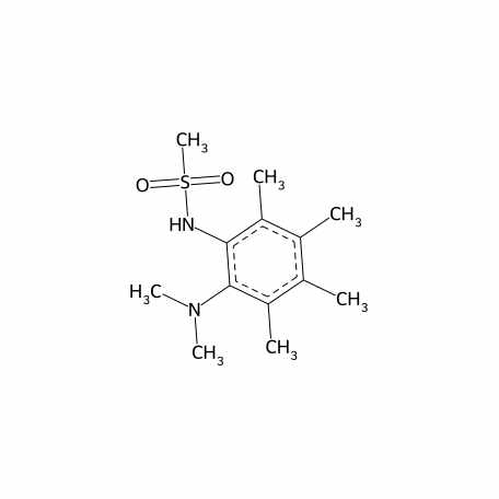 Cc1c(C)c(C)c(N(C)C)c(NS(C)(=O)=O)c1C